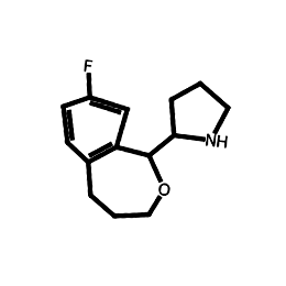 Fc1ccc2c(c1)C(C1CCCN1)OCCC2